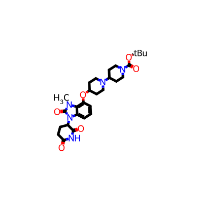 Cn1c(=O)n(C2CCC(=O)NC2=O)c2cccc(OC3CCN(C4CCN(C(=O)OC(C)(C)C)CC4)CC3)c21